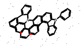 c1ccc(-c2ccccc2N(c2ccccc2-c2ccccc2)c2ccccc2-c2cccc(-c3cccc4c3c3ccccc3n4-c3ccccc3)c2)cc1